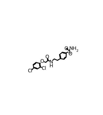 NS(=O)(=O)c1ccc(CCNC(=O)COc2ccc(Cl)cc2Cl)cc1